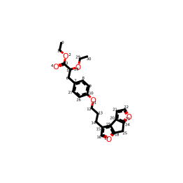 CCOC(=O)C(Cc1ccc(OCCCc2coc3c2-c2ccoc2C3)cc1)OCC